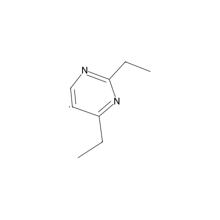 CCc1[c]cnc(CC)n1